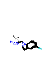 C[C@@H](N)Cn1ccc2cc(F)ccc21